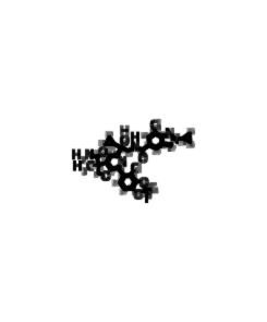 C[C@]1(C(N)=O)COc2c1cc([C@@](O)(CNC(=O)c1cc(Cl)c3nn(C4CC4)cc3c1)C1CC1)nc2-c1ccc2c(c1Cl)OC(F)(F)O2